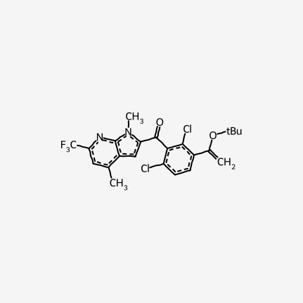 C=C(OC(C)(C)C)c1ccc(Cl)c(C(=O)c2cc3c(C)cc(C(F)(F)F)nc3n2C)c1Cl